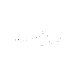 CCC(COC/C=C/C(=O)OC)OCCN(Cc1ccccc1)Cc1ccccc1